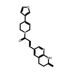 C=C1CCc2cc(/C=C/C(=O)N3CC=C(c4ccoc4)CC3)cnc2N1